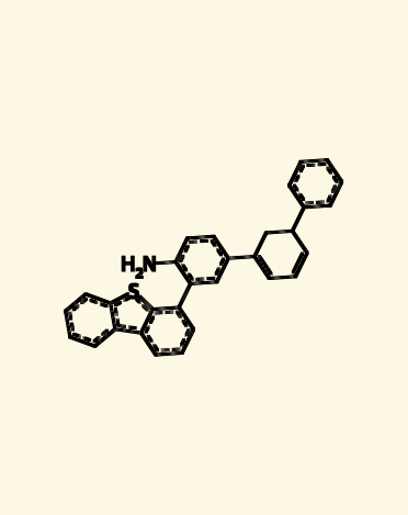 Nc1ccc(C2=CC=CC(c3ccccc3)C2)cc1-c1cccc2c1sc1ccccc12